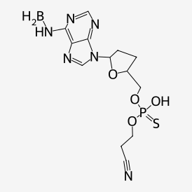 BNc1ncnc2c1ncn2C1CCC(COP(O)(=S)OCCC#N)O1